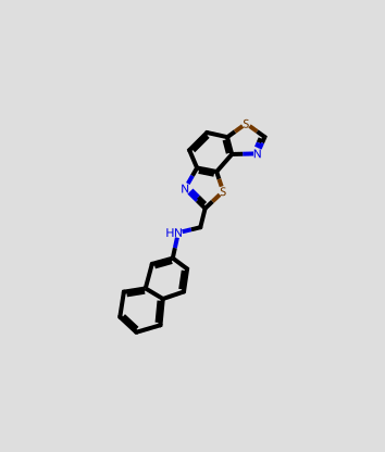 c1ccc2cc(NCc3nc4ccc5scnc5c4s3)ccc2c1